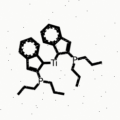 CCCP(CCC)C1=Cc2ccccc2[CH]1[Ti][CH]1C(P(CCC)CCC)=Cc2ccccc21